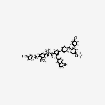 CC1(C)CCC(CN2CCN(c3ccc(C(=O)NS(=O)(=O)c4ccc(NC[C@H]5CC[C@H](O)C5)c([N+](=O)[O-])c4)c(Oc4cnc5[nH]ccc5c4)c3)CC2)=C(c2ccc(Cl)cc2)C1